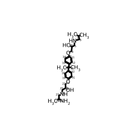 CC(C)CNCC(O)COc1ccc(C(C)(C)c2ccc(OCC(O)CNCC(C)N)cc2)cc1